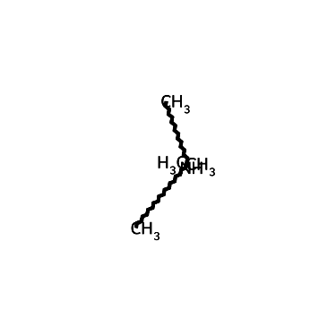 CCCCCCCCCCCCCCCCCCNC(C)(C)CCCCCCCCCCCCCCC